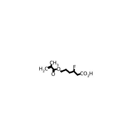 C=C(C)C(=O)OCCCC(F)CC(=O)O